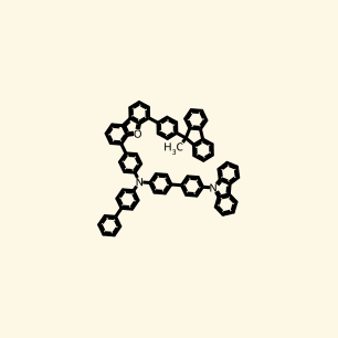 CC1(c2ccc(-c3cccc4c3oc3c(-c5ccc(N(c6ccc(-c7ccccc7)cc6)c6ccc(-c7ccc(-n8c9ccccc9c9ccccc98)cc7)cc6)cc5)cccc34)cc2)c2ccccc2-c2ccccc21